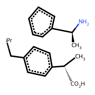 CC(C)Cc1ccc([C@H](C)C(=O)O)cc1.C[C@H](N)c1ccccc1